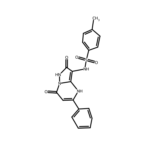 Cc1ccc(S(=O)(=O)Nc2c(=O)[nH]n3c(=O)cc(-c4ccccc4)[nH]c23)cc1